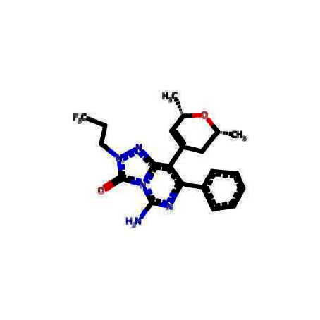 C[C@@H]1CC(c2c(-c3ccccc3)nc(N)n3c(=O)n(CCC(F)(F)F)nc23)=C[C@H](C)O1